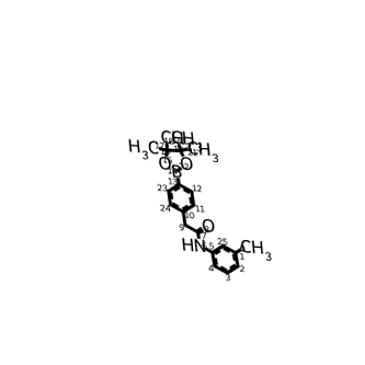 Cc1cccc(NC(=O)Cc2ccc(B3OC(C)(C)C(C)(C)O3)cc2)c1